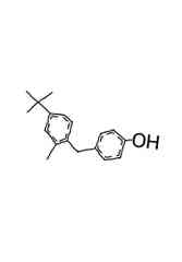 Cc1cc(C(C)(C)C)ccc1Cc1ccc(O)cc1